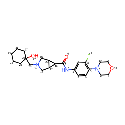 O=C(Nc1ccc(N2CCOCC2)c(F)c1)C1C2CN(CC3(O)CCCCC3)CC21